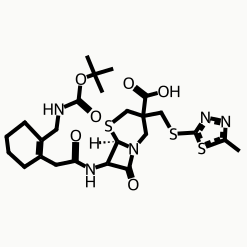 Cc1nnc(SCC2(C(=O)O)CS[C@@H]3C(NC(=O)CC4=C(CNC(=O)OC(C)(C)C)CCCC4)C(=O)N3C2)s1